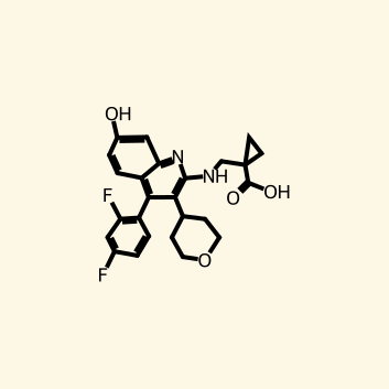 O=C(O)C1(CNc2nc3cc(O)ccc3c(-c3ccc(F)cc3F)c2C2CCOCC2)CC1